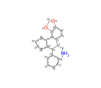 NCC(c1ccc2c(c1)OCO2)C(c1ccccc1)c1ccccc1